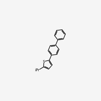 CC(C)c1ccc(-c2ccc(-c3ccccc3)cc2)s1